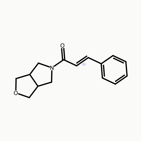 O=C(/C=C/c1ccccc1)N1CC2COCC2C1